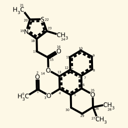 CC(=O)Oc1c2c(c3ccccc3c1OC(=O)Cc1nc(C)sc1C)OC(C)(C)CC2